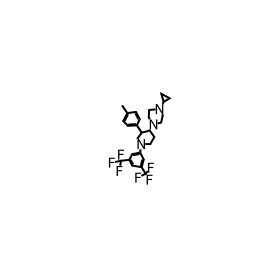 Cc1ccc(C2CN(c3cc(C(F)(F)F)cc(C(F)(F)F)c3)CCC2N2CCN(C3CC3)CC2)cc1